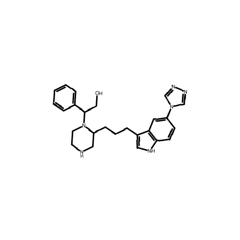 OCC(c1ccccc1)N1CCNCC1CCCc1c[nH]c2ccc(-n3cnnc3)cc12